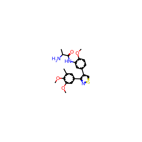 COc1ccc(-c2csnc2-c2cc(C)c(OC)c(OC)c2)cc1NC(=O)C(C)N